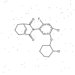 O=C1C2=CC(CCC2)C(=O)N1c1cc(OC2CCCCC2Cl)c(Cl)cc1F